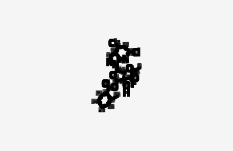 CC(=O)O[C@H]1[C@H](n2ncc3c(Cl)cc(Cl)nc32)O[C@H](OC(=O)c2ccccc2C)[C@@]1(O)C(F)F